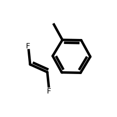 Cc1ccccc1.FC=CF